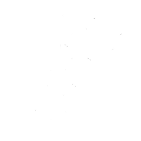 O=c1[nH]c(-c2cc3ccccc3[nH]2)nc2ccccc12